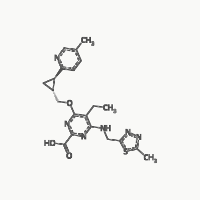 CCc1c(NCc2nnc(C)s2)nc(C(=O)O)nc1OC[C@@H]1C[C@H]1c1ccc(C)cn1